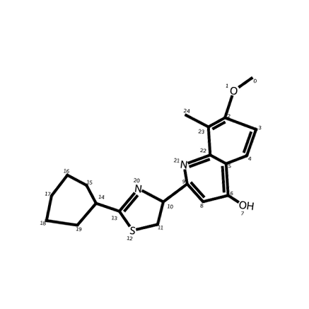 COc1ccc2c(O)cc(C3CSC(C4CCCCC4)=N3)nc2c1C